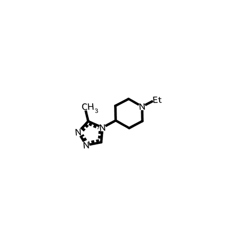 CCN1CCC(n2cnnc2C)CC1